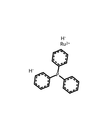 [H-].[H-].[Ru+2].c1ccc(P(c2ccccc2)c2ccccc2)cc1